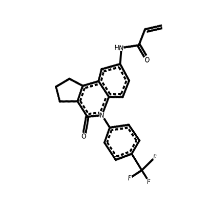 C=CC(=O)Nc1ccc2c(c1)c1c(c(=O)n2-c2ccc(C(F)(F)F)cc2)CCC1